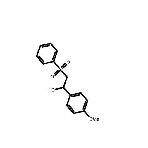 COc1ccc(C(O)CS(=O)(=O)c2ccccc2)cc1